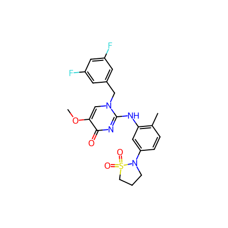 COc1cn(Cc2cc(F)cc(F)c2)c(Nc2cc(N3CCCS3(=O)=O)ccc2C)nc1=O